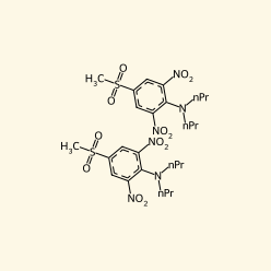 CCCN(CCC)c1c([N+](=O)[O-])cc(S(C)(=O)=O)cc1[N+](=O)[O-].CCCN(CCC)c1c([N+](=O)[O-])cc(S(C)(=O)=O)cc1[N+](=O)[O-]